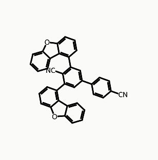 N#Cc1ccc(-c2cc(-c3cccc4oc5ccccc5c34)c(C#N)c(-c3cccc4oc5ccccc5c34)c2)cc1